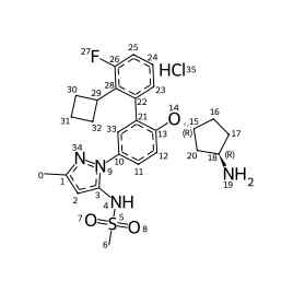 Cc1cc(NS(C)(=O)=O)n(-c2ccc(O[C@@H]3CC[C@@H](N)C3)c(-c3cccc(F)c3C3CCC3)c2)n1.Cl